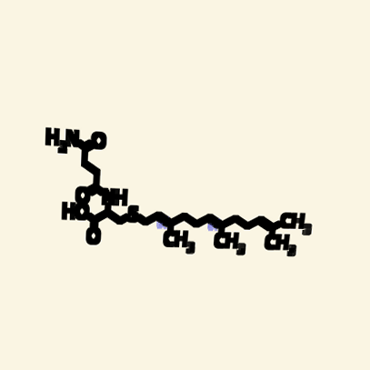 CC(C)=CCC/C(C)=C/CC/C(C)=C/CSCC(NC(=O)CCC(N)=O)C(=O)O